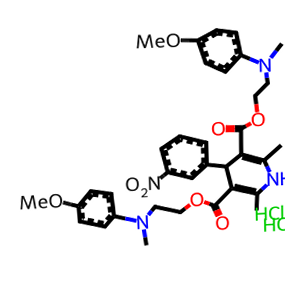 COc1ccc(N(C)CCOC(=O)C2=C(C)NC(C)=C(C(=O)OCCN(C)c3ccc(OC)cc3)C2c2cccc([N+](=O)[O-])c2)cc1.Cl.Cl